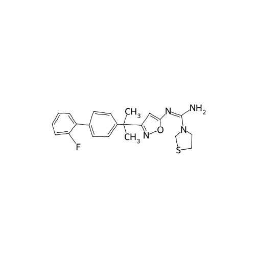 CC(C)(c1ccc(-c2ccccc2F)cc1)c1cc(/N=C(/N)N2CCSC2)on1